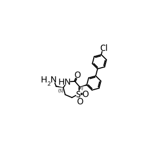 NC[C@@H]1CCS(=O)(=O)[C@H](c2cccc(-c3ccc(Cl)cc3)c2)C(=O)N1